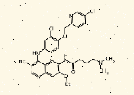 CCOc1cc2ncc(C#N)c(Nc3ccc(OCc4ccc(Cl)cn4)c(Cl)c3)c2cc1NC(=O)CCCN(C)C